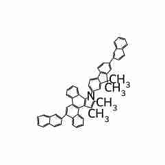 Cc1c(C)n(-c2ccc3c(c2)C(C)(C)c2cc(-c4ccc5ccccc5c4)ccc2-3)c2c3ccccc3c3cc(-c4ccc5ccccc5c4)c4ccccc4c3c12